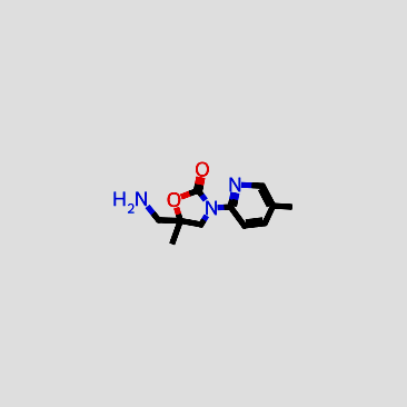 Cc1ccc(N2CC(C)(CN)OC2=O)nc1